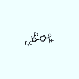 CCn1nc(C(F)(F)F)cc1-c1ccc(C(=O)N(C)C)cc1